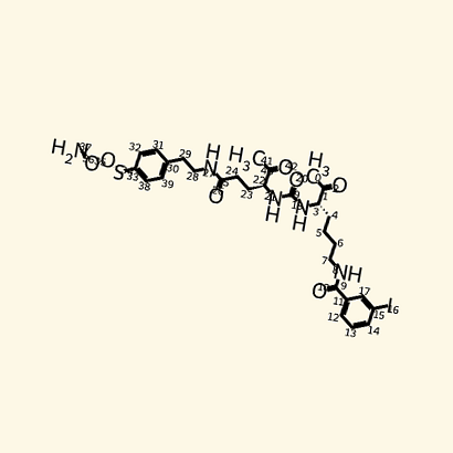 CC(=O)[C@H](CCCCNC(=O)c1cccc(I)c1)NC(=O)N[C@@H](CCC(=O)NCCc1ccc(SOON)cc1)C(C)=O